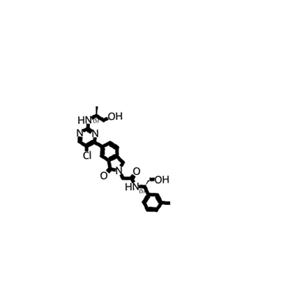 Cc1cccc([C@@H](CO)NC(=O)CN2Cc3ccc(-c4nc(N[C@@H](C)CO)ncc4Cl)cc3C2=O)c1